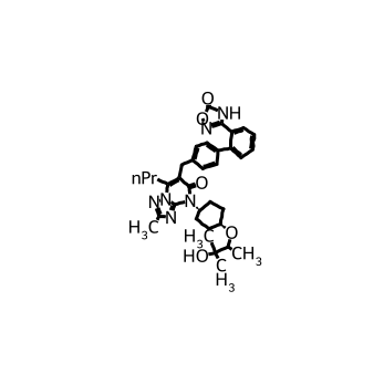 CCCc1c(Cc2ccc(-c3ccccc3-c3noc(=O)[nH]3)cc2)c(=O)n([C@H]2CC[C@H](OC(C)C(C)(C)O)CC2)c2nc(C)nn12